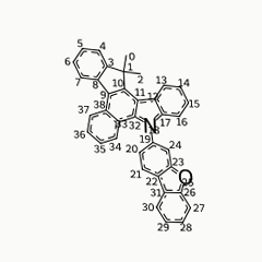 CC1(C)c2ccccc2-c2c1c1c3ccccc3n(-c3ccc4c(c3)oc3ccccc34)c1c1ccccc21